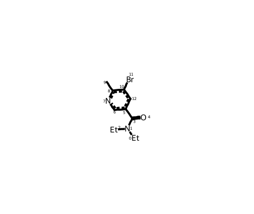 CCN(CC)C(=O)c1cnc(C)c(Br)c1